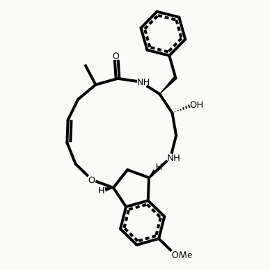 COc1ccc2c(c1)[C@@H]1C[C@H]2OC/C=C\CC(C)C(=O)N[C@@H](Cc2ccccc2)[C@H](O)CN1